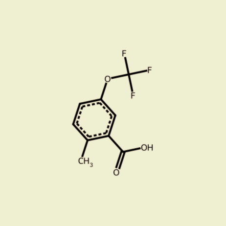 Cc1ccc(OC(F)(F)F)cc1C(=O)O